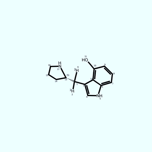 [2H]C([2H])(c1c[nH]c2cccc(O)c12)[C@@H]1CCCN1